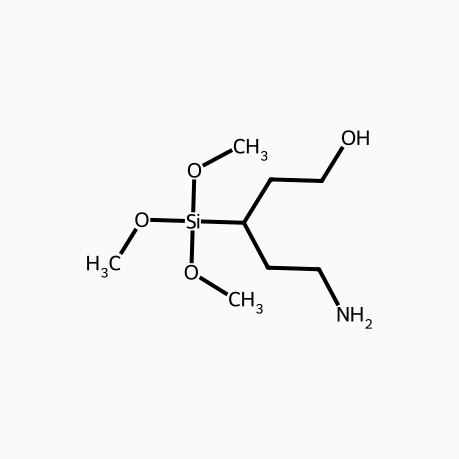 CO[Si](OC)(OC)C(CCN)CCO